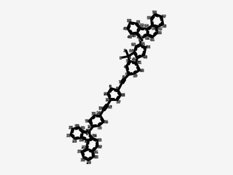 CC1(C)c2cc(C#Cc3ccc(C#Cc4ccc(-n5c6ccccc6c6c7ccccc7ccc65)cc4)cc3)ccc2-c2ccc(-n3c4ccccc4c4c5ccccc5ccc43)cc21